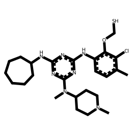 Cc1ccc(Nc2nc(NC3CCCCCC3)nc(N(C)C3CCN(C)CC3)n2)c(OCS)c1Cl